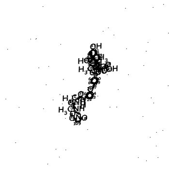 C[C@H](NC(=O)CN1C(=O)C=CC1=O)C(=O)N[C@@H](C)C(=O)Nc1cccc(OCc2ccc([C@@H]3O[C@@H]4C[C@H]5[C@@H]6CCC7=CC(O)C=C[C@]7(C)[C@H]6[C@@H](O)C[C@]5(C)[C@]4(C(=O)COP(=O)(O)O)O3)cc2)c1